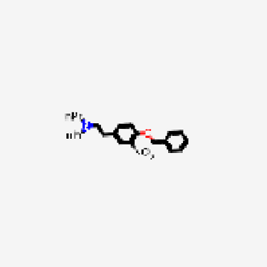 CCCN(CCC)CCc1ccc(OCc2ccccc2)c([N+](=O)[O-])c1